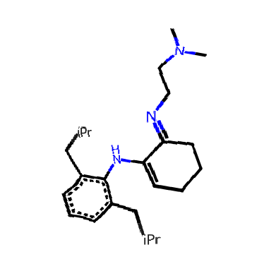 CC(C)Cc1cccc(CC(C)C)c1NC1=CCCC/C1=N\CCN(C)C